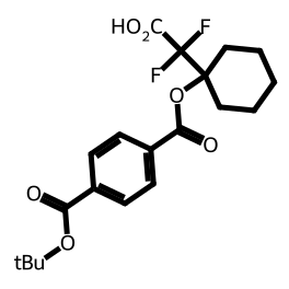 CC(C)(C)OC(=O)c1ccc(C(=O)OC2(C(F)(F)C(=O)O)CCCCC2)cc1